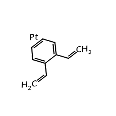 C=Cc1ccccc1C=C.[Pt]